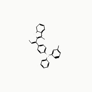 C/C=C(\C1=C(C)C2=CC=CCC2S1)c1ccc(N(c2c#ccc(C)c2)c2ccccc2)cc1